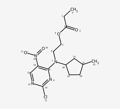 CCC(=O)OCCN(c1nc(Cl)ncc1[N+](=O)[O-])C1CCC(C)C1